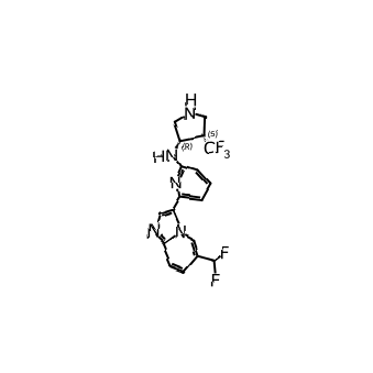 FC(F)c1ccc2ncc(-c3cccc(N[C@H]4CNC[C@@H]4C(F)(F)F)n3)n2c1